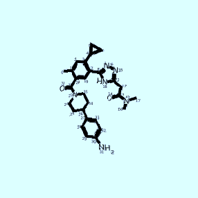 Cc1cc(C2CC2)c(-c2nnc(CC(=O)N(C)C)[nH]2)cc1C(=O)N1CCC(c2ccc(N)cc2)CC1